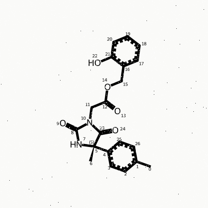 Cc1ccc([C@]2(C)NC(=O)N(CC(=O)OCc3ccccc3O)C2=O)cc1